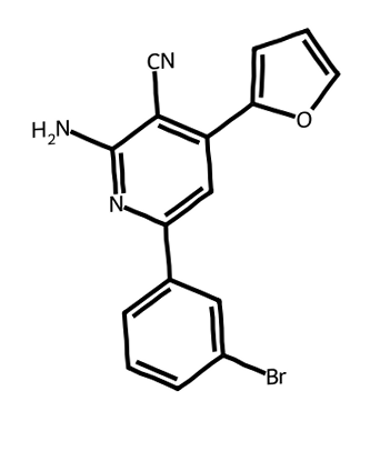 N#Cc1c(-c2ccco2)cc(-c2cccc(Br)c2)nc1N